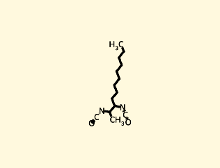 CCCCCCCCCC(N=C=O)C(C)N=C=O